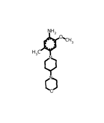 COc1cc(N2CCC(N3CCOCC3)CC2)c(C)cc1N